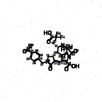 O=C(O)C(F)(F)F.O=C(O)C1=C(/C=C2\CCN(Cc3ccc([N+](=O)[O-])cc3)C2=O)C2CCN[C@@H]3C(=O)N1[C@H]23